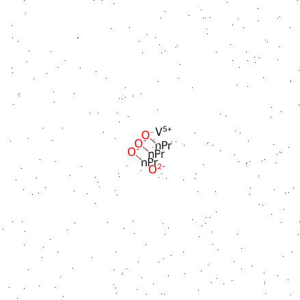 CCC[O-].CCC[O-].CCC[O-].[O-2].[V+5]